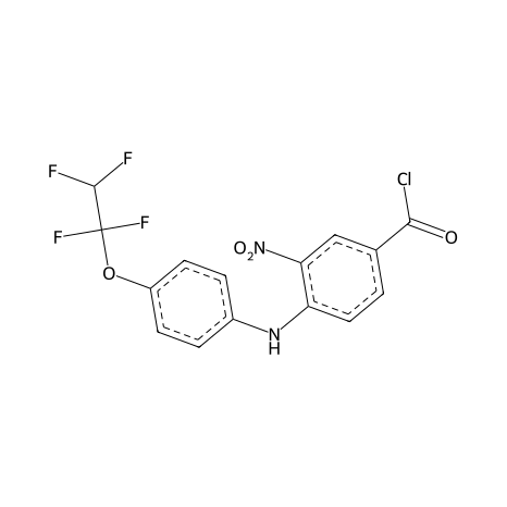 O=C(Cl)c1ccc(Nc2ccc(OC(F)(F)C(F)F)cc2)c([N+](=O)[O-])c1